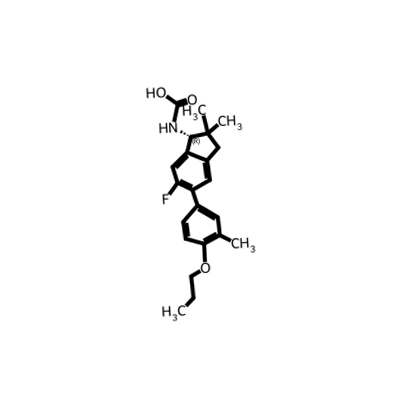 CCCOc1ccc(-c2cc3c(cc2F)[C@H](NC(=O)O)C(C)(C)C3)cc1C